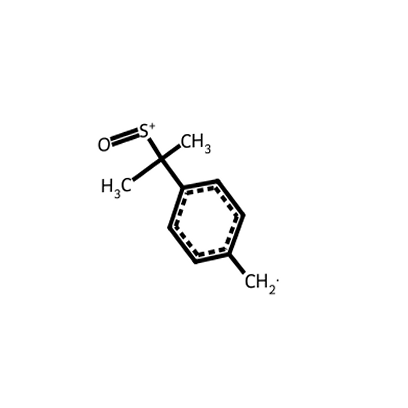 [CH2]c1ccc(C(C)(C)[S+]=O)cc1